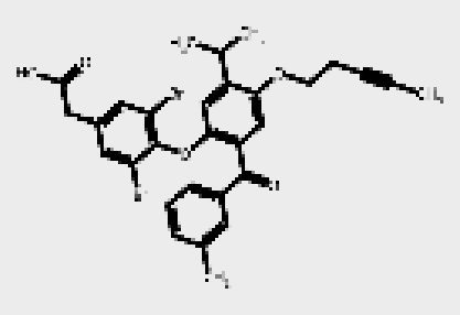 CC#CCCOc1cc(C(=O)c2cccc(C)c2)c(Oc2c(Br)cc(CC(=O)O)cc2Br)cc1C(C)C